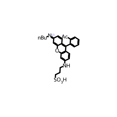 CCCC/N=c1/ccc2c(-c3ccccc3C(C)=O)c3ccc(NCCCS(=O)(=O)O)cc3oc-2c1